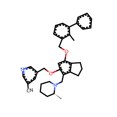 Cc1c(COc2cc(OCc3cncc(C#N)c3)c(CN3CCCC[C@H]3C)c3c2CCC3)cccc1-c1ccccc1